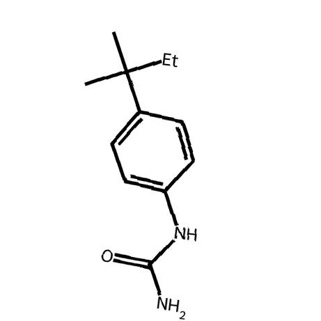 CCC(C)(C)c1ccc(NC(N)=O)cc1